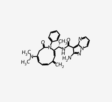 C=C1/C=C\C=C(\N(C)C)CC(=O)N(c2ccccc2)/C([C@H](C)NC(=O)c2c(N)nn3cccnc23)=C\1